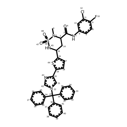 CN1C(C(=O)Nc2ccc(F)c(Cl)c2)CC(c2ccc(-c3cn(C(c4ccccc4)(c4ccccc4)c4ccccc4)cn3)s2)NS1(=O)=O